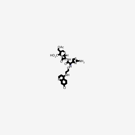 CC(=O)OCC1=C(C(=O)O)N2C(=O)[C@@H](NC(=O)/C(=N\OCCNc3ccnc4cc(Cl)ccc34)c3csc(N)n3)[C@H]2SC1